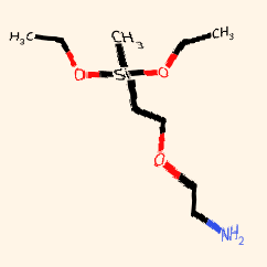 CCO[Si](C)(CCOCCN)OCC